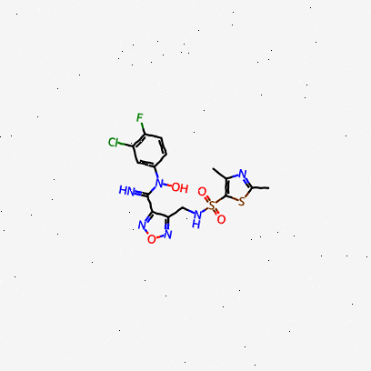 Cc1nc(C)c(S(=O)(=O)NCc2nonc2C(=N)N(O)c2ccc(F)c(Cl)c2)s1